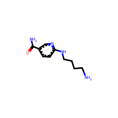 NCCCCNc1ccc(C(N)=O)cn1